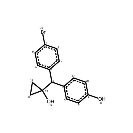 Oc1ccc(C(c2ccc(Br)cc2)C2(O)CC2)cc1